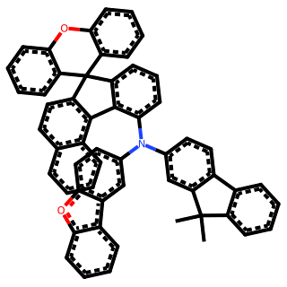 CC1(C)c2ccccc2-c2ccc(N(c3ccc4oc5ccccc5c4c3)c3cccc4c3-c3c(ccc5ccccc35)C43c4ccccc4Oc4ccccc43)cc21